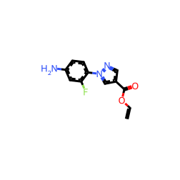 C=COC(=O)c1cnn(-c2ccc(N)cc2F)c1